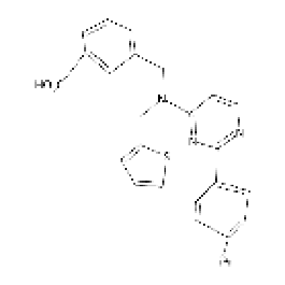 CC(C)c1ccc(-c2nccc(N(Cc3cccc(C(=O)O)c3)Cc3cccs3)n2)cc1